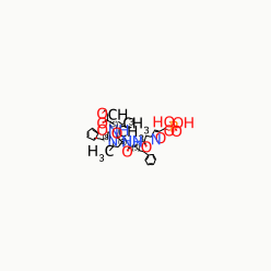 CC(C)C[C@H](NC(=O)[C@H](Cc1ccccc1)N1C(=O)[C@@H](NC(=O)[C@H](CCc2ccccc2)NC(=O)Cc2cc(COP(=O)(O)O)on2)CC1C)C(=O)C1(C)CO1